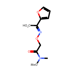 CON(C)C(=O)CON=C(C(=O)O)c1ccco1